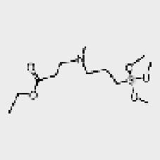 CCOC(=O)CCN(C)CCC[Si](OC)(OC)OC